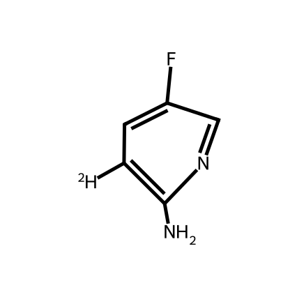 [2H]c1cc(F)cnc1N